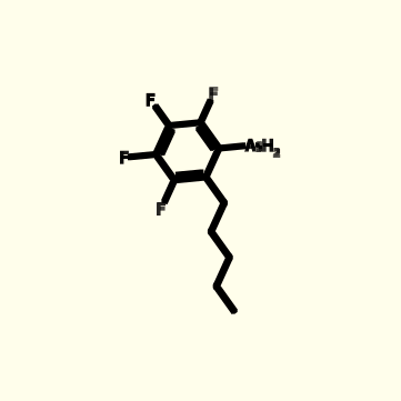 CCCCCc1c(F)c(F)c(F)c(F)c1[AsH2]